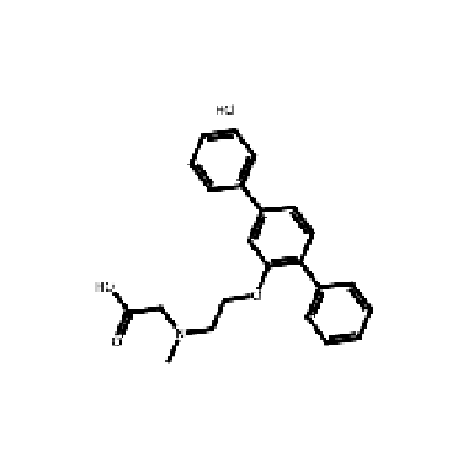 CN(CCOc1cc(-c2ccccc2)ccc1-c1ccccc1)CC(=O)O.Cl